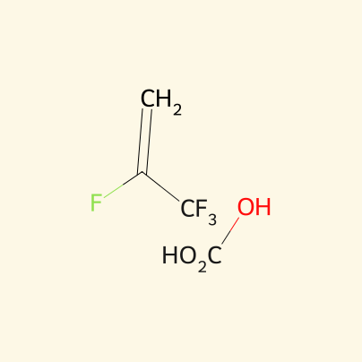 C=C(F)C(F)(F)F.O=C(O)O